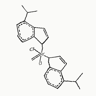 [CH2]=[Hf]([Cl])([Cl])([CH]1C=Cc2c(C(C)C)cccc21)[CH]1C=Cc2c(C(C)C)cccc21